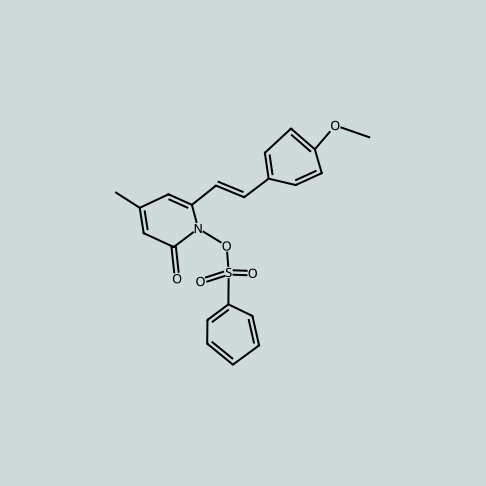 COc1ccc(/C=C/c2cc(C)cc(=O)n2OS(=O)(=O)c2ccccc2)cc1